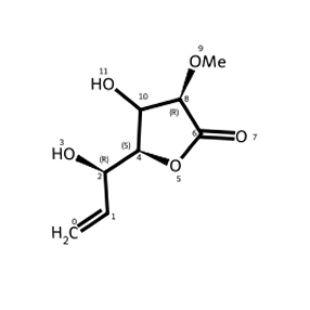 C=C[C@@H](O)[C@@H]1OC(=O)[C@H](OC)C1O